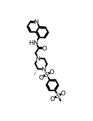 C[C@@H]1CN(CC(=O)Nc2cccc3ncccc23)CCN1S(=O)(=O)c1ccc(S(C)(=O)=O)cc1